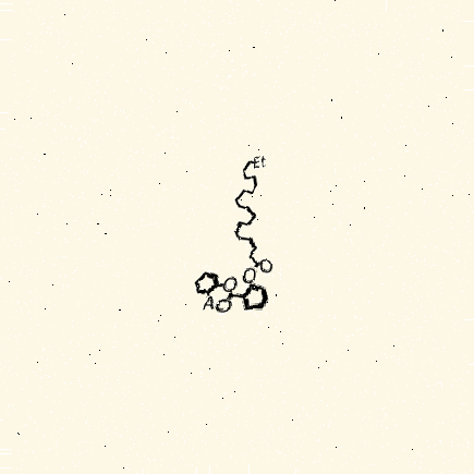 CC/C=C\C/C=C\C/C=C\C/C=C\C/C=C\C/C=C\CC(=O)Oc1ccccc1C(=O)Oc1ccccc1C(C)=O